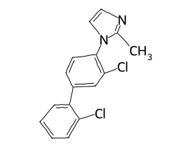 Cc1nccn1-c1ccc(-c2ccccc2Cl)cc1Cl